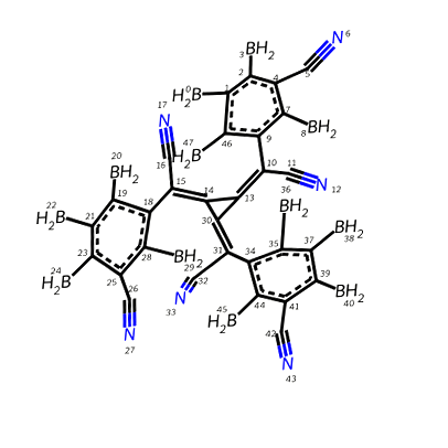 Bc1c(B)c(C#N)c(B)c(C(C#N)=C2C(=C(C#N)c3c(B)c(B)c(B)c(C#N)c3B)C2=C(C#N)c2c(B)c(B)c(B)c(C#N)c2B)c1B